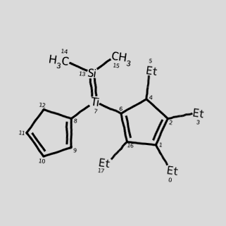 CCC1=C(CC)C(CC)[C]([Ti]([C]2=CC=CC2)=[Si](C)C)=C1CC